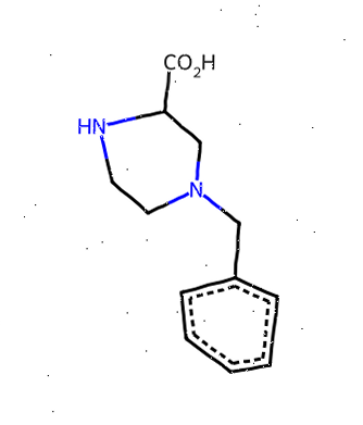 O=C(O)C1CN(Cc2ccccc2)CCN1